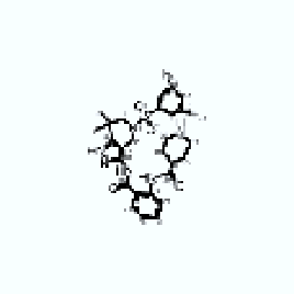 CC1(C)CN(S(=O)(=O)c2cc(F)cc(F)c2)Cc2c(NC(=O)c3ccccc3NC(=O)C3CCNCC3)n[nH]c21